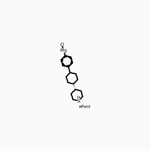 CCCCC[Si@H]1CC[C@H](C2CCC(c3cc[c]([Mg][Cl])cc3)CC2)CC1